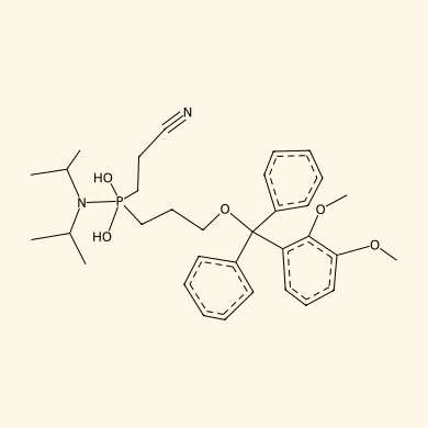 COc1cccc(C(OCCCP(O)(O)(CCC#N)N(C(C)C)C(C)C)(c2ccccc2)c2ccccc2)c1OC